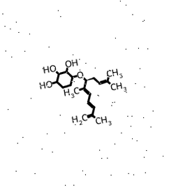 C=C(C)/C=C/C=C(\C)[C@H](CC=C(C)C)OC1CCC(O)C(O)C1O